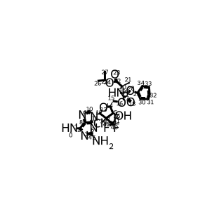 CNc1nc(N)nc2c1ncn2[C@@H]1O[C@H](COP(=O)(N[C@H](C)C(=O)OC(C)C)Oc2ccccc2)[C@@H](O)[C@]1(Cl)C(F)(F)F